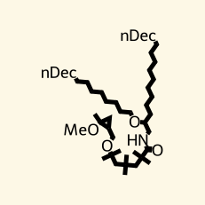 CCCCCCCCCCCCCCCCCCCC(CNC(=O)C(C)(C)CC(C)(C)CC(C)(C)OCC1CC1(C)OC)OCCCCCCCCCCCCCCCCCC